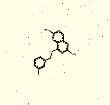 COc1ncc2nc(C)nc(NCc3cccc(Br)c3)c2n1